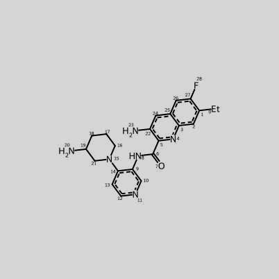 CCc1cc2nc(C(=O)Nc3cnccc3N3CCCC(N)C3)c(N)cc2cc1F